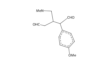 CNCC(CC=O)C(C=O)c1ccc(OC)cc1